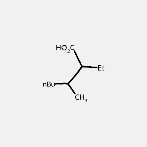 CCCCC(C)C(CC)C(=O)O